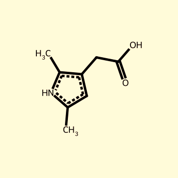 Cc1cc(CC(=O)O)c(C)[nH]1